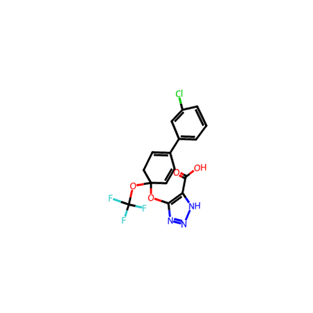 O=C(O)c1[nH]nnc1OC1(OC(F)(F)F)C=CC(c2cccc(Cl)c2)=CC1